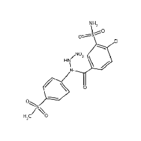 CS(=O)(=O)c1ccc(N(N[N+](=O)[O-])C(=O)c2ccc(Cl)c(S(N)(=O)=O)c2)cc1